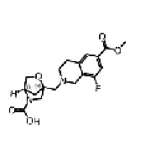 COC(=O)c1cc(F)c2c(c1)CCN(C[C@@]13C[C@@H](CO1)N(C(=O)O)C3)C2